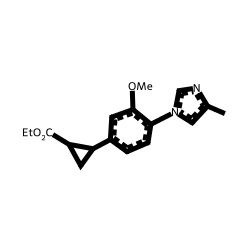 CCOC(=O)C1CC1c1ccc(-n2cnc(C)c2)c(OC)c1